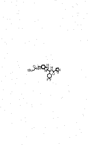 C[C@@H](NC(=O)CC(C)(C)C)c1ccc2[nH]c([C@@H](NC(=O)c3ccnn3C)C3CCC(F)(F)CC3)nc2c1